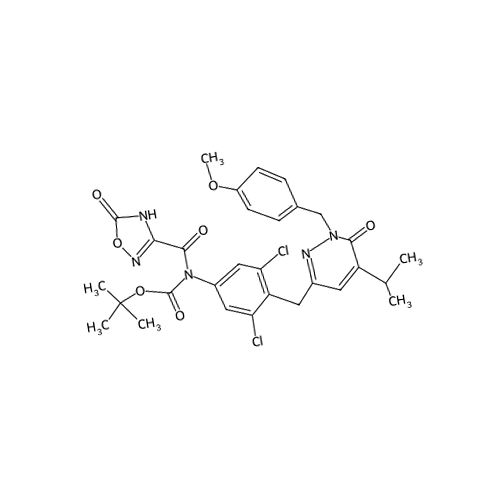 COc1ccc(Cn2nc(Cc3c(Cl)cc(N(C(=O)OC(C)(C)C)C(=O)c4noc(=O)[nH]4)cc3Cl)cc(C(C)C)c2=O)cc1